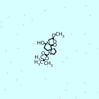 COC(=O)CN1C(=O)[C@@]2(CCCN2C(=O)OC(C)(C)C)CCC1O